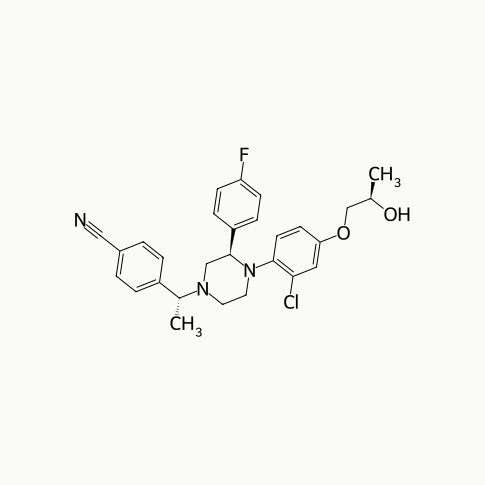 C[C@H](c1ccc(C#N)cc1)N1CCN(c2ccc(OC[C@@H](C)O)cc2Cl)[C@H](c2ccc(F)cc2)C1